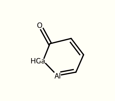 O=[C]1C=C[CH]=[Al][GaH]1